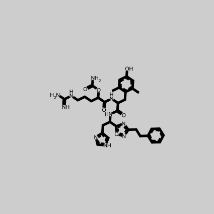 Cc1cc(O)cc(C)c1CC(NC(=O)C(CCCNC(=N)N)OC(N)=O)C(=O)NC(Cc1c[nH]cn1)c1nc(CCc2ccccc2)no1